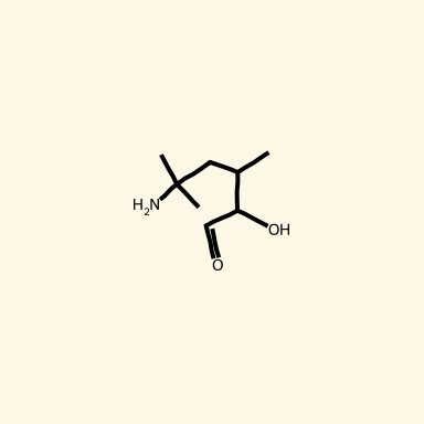 CC(CC(C)(C)N)C(O)C=O